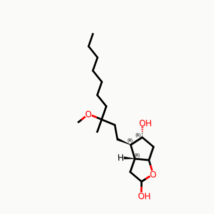 CCCCCCCC(C)(CC[C@H]1[C@H](O)CC2OC(O)C[C@@H]21)OC